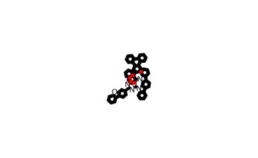 c1ccc(-c2nc(-c3ccc4c(c3)oc3ccccc34)nc(-n3c4ccccc4c4ccc5c6ccccc6n(-c6ccccc6-c6ccc7c8ccccc8c8ccccc8c7c6)c5c43)n2)cc1